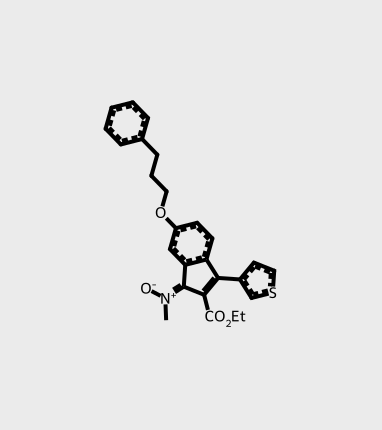 CCOC(=O)C1=C(c2ccsc2)c2ccc(OCCCc3ccccc3)cc2/C1=[N+](/C)[O-]